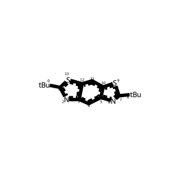 CC(C)(C)c1nc2cc3nc(C(C)(C)C)sc3cc2s1